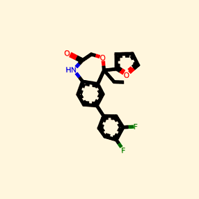 CCC1(c2ccco2)OCC(=O)Nc2ccc(-c3ccc(F)c(F)c3)cc21